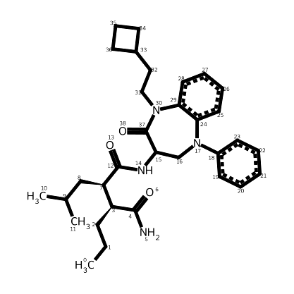 CCC[C@H](C(N)=O)[C@@H](CC(C)C)C(=O)NC1CN(c2ccccc2)c2ccccc2N(CCC2CCC2)C1=O